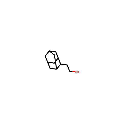 OCCC1[C]2CC3CC(C2)CC1C3